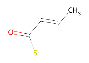 CC=CC(=O)[S]